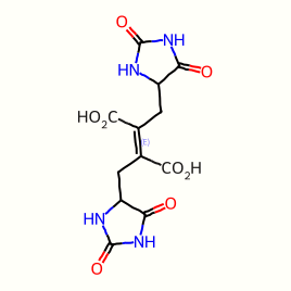 O=C1NC(=O)C(C/C(C(=O)O)=C(/CC2NC(=O)NC2=O)C(=O)O)N1